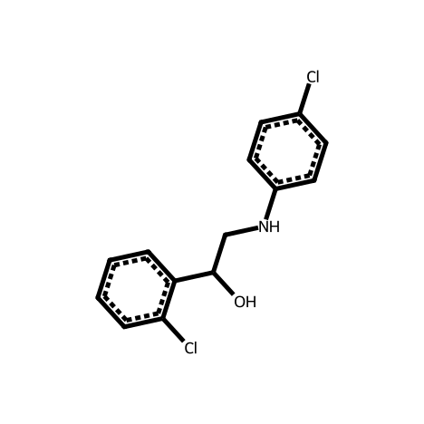 OC(CNc1ccc(Cl)cc1)c1ccccc1Cl